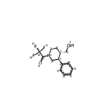 O=C(N1CC[C@H](CO)[C@@H](c2ccccc2)C1)C(F)(F)F